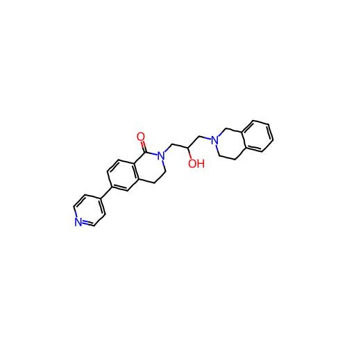 O=C1c2ccc(-c3ccncc3)cc2CCN1CC(O)CN1CCc2ccccc2C1